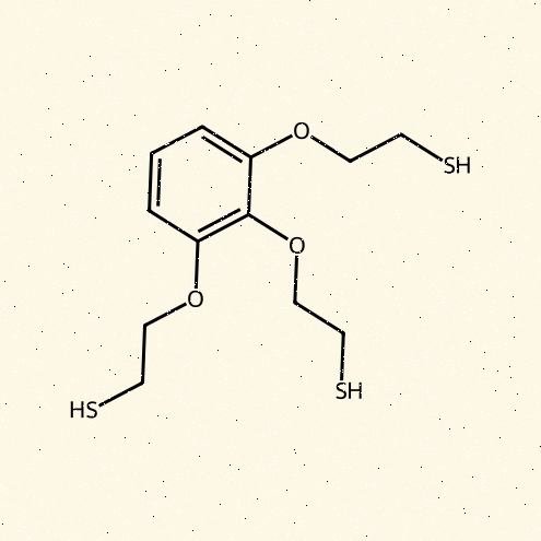 SCCOc1cccc(OCCS)c1OCCS